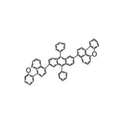 c1ccc(-c2c3ccc(-c4ccc5c6c(cccc46)Oc4ccccc4-5)cc3c(-c3ccccc3)c3ccc(-c4ccc5c6c(cccc46)Oc4ccccc4-5)cc23)cc1